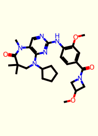 COc1cc(C(=O)N2CC(OC)C2)ccc1Nc1ncc2c(n1)N(C1CCCC1)CC(C)(C)C(=O)N2C